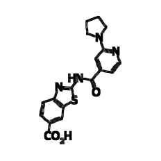 O=C(O)c1ccc2nc(NC(=O)c3ccnc(N4CCCC4)c3)sc2c1